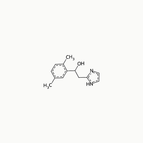 Cc1ccc(C)c(C(O)Cc2ncc[nH]2)c1